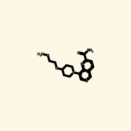 COCCOC1CCN(c2cncc3ccc(C(N)=O)nc23)CC1